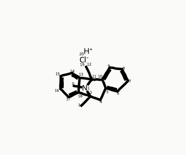 CN1C2(C)Cc3ccccc3C1(C)c1ccccc12.[Cl-].[H+]